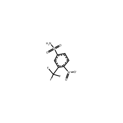 NS(=O)(=O)c1ccc([N+](=O)[O-])c(C(F)(F)F)c1